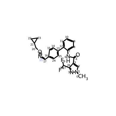 Cn1cc(C(=O)Nc2ccccc2-c2ccc(/C=N\OCC3CC3)cc2)c(C(F)F)n1